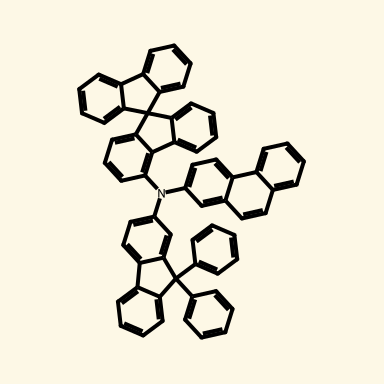 c1ccc(C2(c3ccccc3)c3ccccc3-c3ccc(N(c4ccc5c(ccc6ccccc65)c4)c4cccc5c4-c4ccccc4C54c5ccccc5-c5ccccc54)cc32)cc1